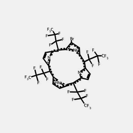 FC(F)(F)C(F)(F)C(F)(F)c1c2nc(c(C(F)(F)C(F)(F)C(F)(F)F)c3cc(Br)c([nH]3)c(C(F)(F)C(F)(F)C(F)(F)F)c3nc(c(C(F)(F)C(F)(F)C(F)(F)F)c4ccc1[nH]4)C=C3)C=C2